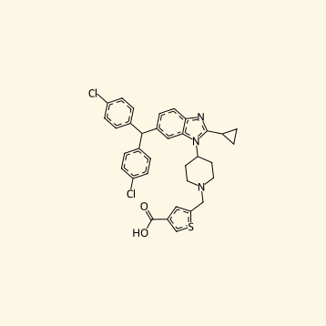 O=C(O)c1csc(CN2CCC(n3c(C4CC4)nc4ccc(C(c5ccc(Cl)cc5)c5ccc(Cl)cc5)cc43)CC2)c1